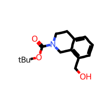 CC(C)(C)OC(=O)N1CCc2cccc(CO)c2C1